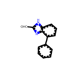 O=[C]c1nc2c(-c3ccccc3)cccc2[nH]1